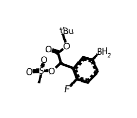 Bc1ccc(F)c(C(OS(C)(=O)=O)C(=O)OC(C)(C)C)c1